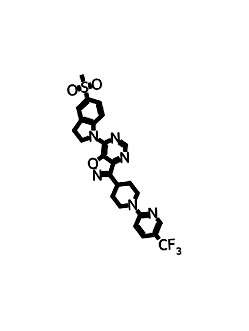 CS(=O)(=O)c1ccc2c(c1)CCN2c1ncnc2c(C3CCN(c4ccc(C(F)(F)F)cn4)CC3)noc12